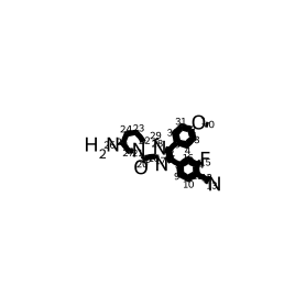 COc1ccc(-c2c(-c3ccc(C#N)c(F)c3)nc(C(=O)N3CCC[C@@H](N)C3)n2C)cc1